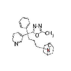 Cc1nnc(C(CCCN2CC3CCC(CC3)C2)(c2ccccc2)c2cccnc2)o1